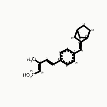 CC(C=Cc1ccc(C=C2CC3CCC2C3)cc1)=CC(=O)O